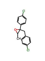 CC1OC1(Cc1ccc(Cl)cc1)c1ccc(Cl)cc1